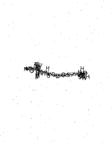 CN(C)CC(=O)NC(CCCCNC(=O)CCOCCOCCOCCSCCCCC[C@@H]1SC[C@@H]2NC(=O)N[C@@H]21)C(=O)N[C@@H](CCC(=O)C=[N+]=[N-])C(=O)OC(C)(C)C